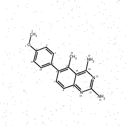 COc1ccc(-c2ccc3nc(N)nc(N)c3c2C)cc1